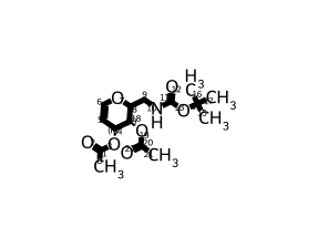 CC(=O)O[C@@H]1C=COC(CNC(=O)OC(C)(C)C)[C@@H]1OC(C)=O